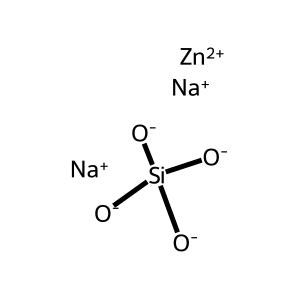 [Na+].[Na+].[O-][Si]([O-])([O-])[O-].[Zn+2]